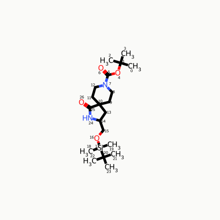 CC(C)(C)OC(=O)N1CCC2(CC1)CC(CO[Si](C)(C)C(C)(C)C)NC2=O